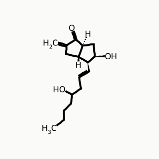 C=C1C[C@H]2[C@H](C=CCC(O)CCCC)[C@H](O)C[C@@H]2C1=O